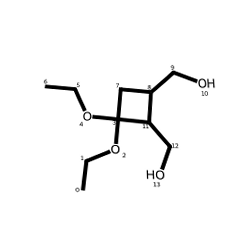 CCOC1(OCC)CC(CO)C1CO